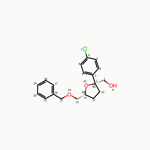 OC[C@]1(c2ccc(Cl)cc2)CC[C@H](COCc2ccccc2)O1